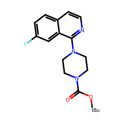 CC(C)(C)OC(=O)N1CCN(c2nccc3ccc(F)cc23)CC1